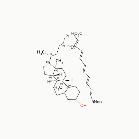 CCCCCCCCCC=CC=CC=CC=CC=CC(=O)O.CC[C@H](CC[C@@H](C)[C@H]1CC[C@H]2[C@@H]3CCC4CC(O)CC[C@]4(C)[C@H]3CC[C@]12C)C(C)C